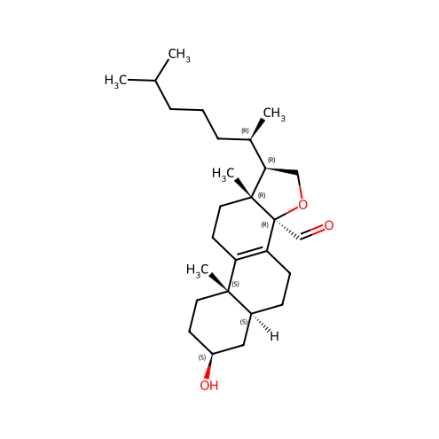 CC(C)CCC[C@@H](C)[C@H]1CO[C@@]2(C=O)C3=C(CC[C@]12C)[C@@]1(C)CC[C@H](O)C[C@@H]1CC3